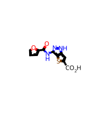 O=C(Nc1n[nH]c2cc(C(=O)O)sc12)c1ccco1